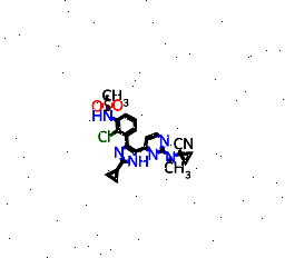 CN(c1nccc(-c2[nH]c(C3CC3)nc2-c2cccc(NS(C)(=O)=O)c2Cl)n1)C1(C#N)CC1